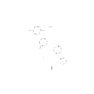 C[C@@H]1CCC[C@H](n2ccc(-c3c(OC(F)F)ccc(Cl)c3F)cc2=O)c2cc(ccn2)-c2c(ccn2C)NC1=O